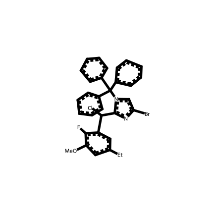 CCc1cc(OC)c(F)c(C(Cl)c2nc(Br)cn2C(c2ccccc2)(c2ccccc2)c2ccccc2)c1